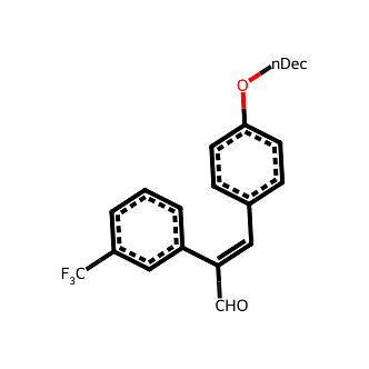 CCCCCCCCCCOc1ccc(C=C(C=O)c2cccc(C(F)(F)F)c2)cc1